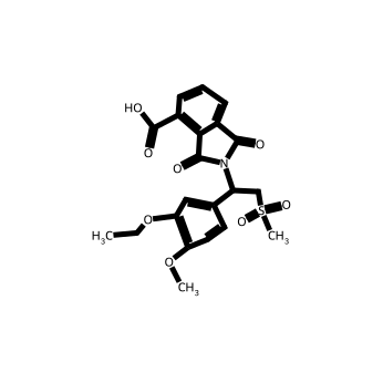 CCOc1cc(C(CS(C)(=O)=O)N2C(=O)c3cccc(C(=O)O)c3C2=O)ccc1OC